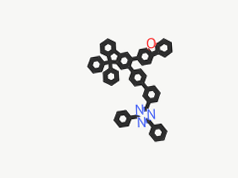 c1ccc(-c2nc(-c3ccccc3)nc(-c3cccc(-c4ccc(-c5cc6c(cc5-c5ccc7c(c5)oc5ccccc57)-c5ccccc5C6(c5ccccc5)c5ccccc5)cc4)c3)n2)cc1